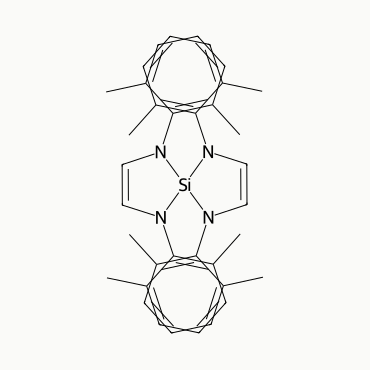 Cc1cccc(C)c1N1C=CN(c2c(C)cccc2C)[Si]12N(c1c(C)cccc1C)C=CN2c1c(C)cccc1C